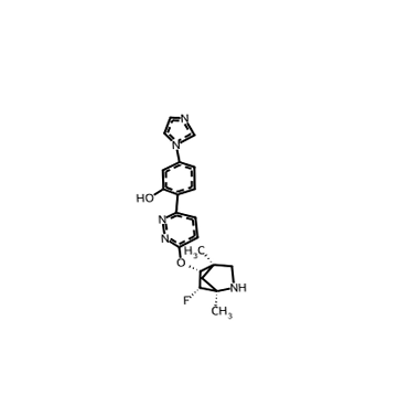 C[C@]12CN[C@](C)(C1)[C@H](F)[C@@H]2Oc1ccc(-c2ccc(-n3ccnc3)cc2O)nn1